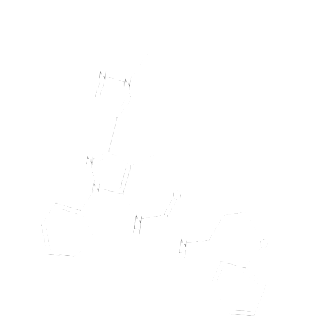 Cc1c(-c2cnn(C)c2)nn(-c2ccccc2)c1NC(=O)NC1CCOc2ccccc21